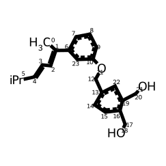 CC(=CC=CC(C)C)c1cccc(OCc2ccc(CO)c(CO)c2)c1